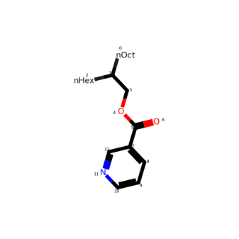 CCCCCCCCC(CCCCCC)COC(=O)c1cccnc1